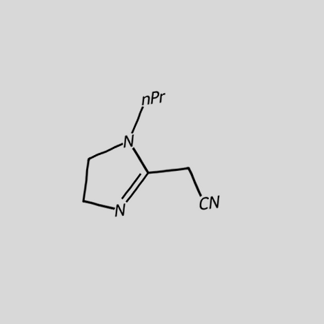 CCCN1CCN=C1CC#N